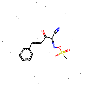 CS(=O)(=O)ON=C(C#N)C(=O)/C=C/c1ccccc1